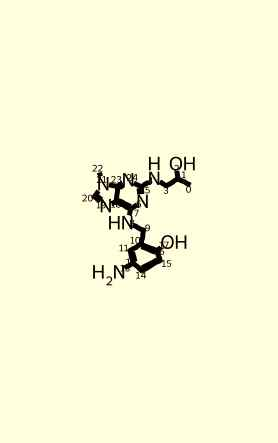 CC(O)CNc1nc(NCc2cc(N)ccc2O)c2ncn(C)c2n1